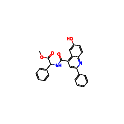 COC(=O)C(NC(=O)c1cc(-c2ccccc2)nc2ccc(O)cc12)c1ccccc1